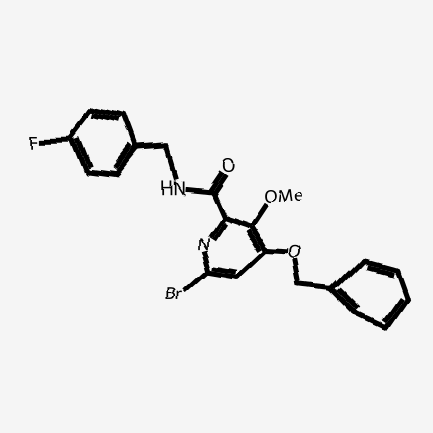 COc1c(OCc2ccccc2)cc(Br)nc1C(=O)NCc1ccc(F)cc1